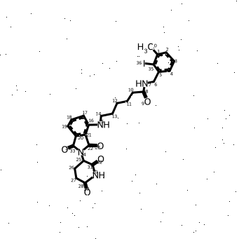 Cc1cccc(CNC(=O)CCCCCNc2cccc3c2C(=O)N(C2CCC(=O)NC2=O)C3=O)c1I